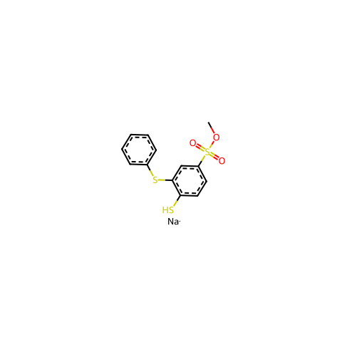 COS(=O)(=O)c1ccc(S)c(Sc2ccccc2)c1.[Na]